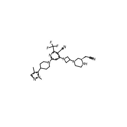 Cc1cnn(C)c1C1CCN(c2cc(N3CC(N4CCN[C@H](CC#N)C4)C3)c(C#N)c(C(F)(F)F)n2)CC1